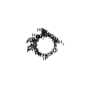 CC1NC(=O)CCSCc2cccc(c2)CSC[C@@H](C(N)=O)NC(=O)[C@]2(C)CCCN2C(=O)[C@H](Cc2ccc(O)cc2)NC(=O)[C@H](Cc2cnc[nH]2)NC(=O)[C@H](CC(=O)O)NC(=O)[C@H](Cc2c[nH]c3ccc(F)cc23)NC(=O)[C@H](Cc2c[nH]c3ccc(F)cc23)NC(=O)c2cnc1[nH]2